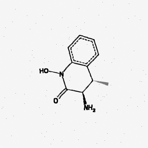 C[C@H]1c2ccccc2N(O)C(=O)[C@@H]1N